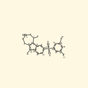 CC1CNCCc2c1c1cc(S(=O)(=O)c3cc(F)cc(F)c3)ccc1n2C